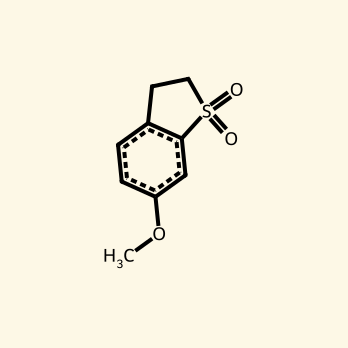 COc1ccc2c(c1)S(=O)(=O)CC2